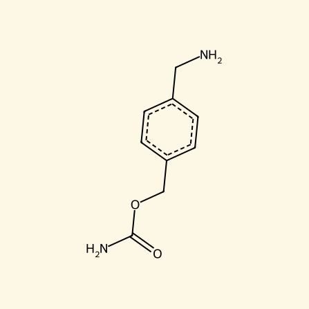 NCc1ccc(COC(N)=O)cc1